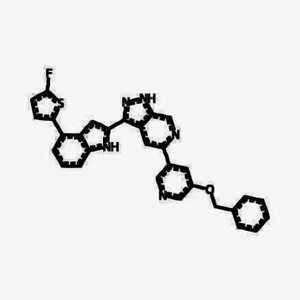 Fc1ccc(-c2cccc3[nH]c(-c4n[nH]c5cnc(-c6cncc(OCc7ccccc7)c6)cc45)cc23)s1